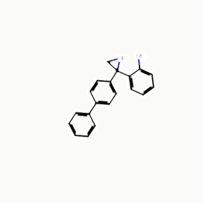 Nc1ccccc1C1(c2ccc(-c3ccccc3)cc2)CN1